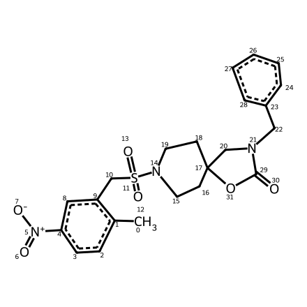 Cc1ccc([N+](=O)[O-])cc1CS(=O)(=O)N1CCC2(CC1)CN(Cc1ccccc1)C(=O)O2